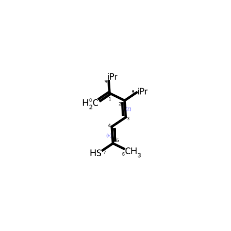 C=C(/C(=C\C=C(/C)S)C(C)C)C(C)C